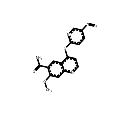 COc1cc2nccc(Oc3ccc(N=O)cn3)c2cc1C(N)=O